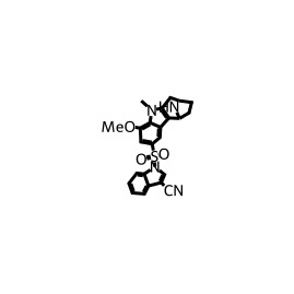 COc1cc(S(=O)(=O)n2cc(C#N)c3ccccc32)cc2c3c(n(C)c12)CC1CCC3N1